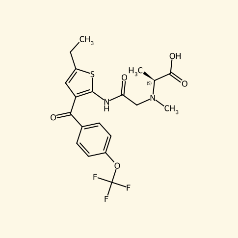 CCc1cc(C(=O)c2ccc(OC(F)(F)F)cc2)c(NC(=O)CN(C)[C@@H](C)C(=O)O)s1